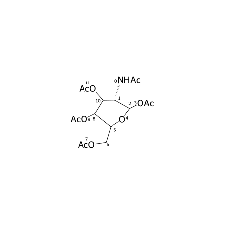 CC(=O)N[C@@H]1C(OC(C)=O)OC(COC(C)=O)C(OC(C)=O)C1OC(C)=O